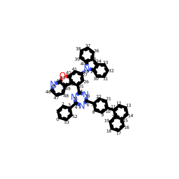 c1ccc(-c2nc(-c3ccc(-c4cccc5ccccc45)cc3)nc(-c3cc(-n4c5ccccc5c5ccccc54)cc4oc5ncccc5c34)n2)cc1